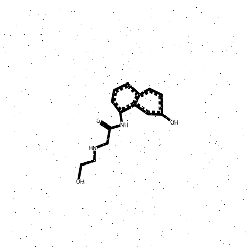 O=C(CNCCO)Nc1cccc2ccc(O)cc12